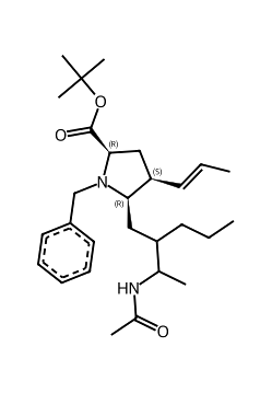 CC=C[C@@H]1C[C@H](C(=O)OC(C)(C)C)N(Cc2ccccc2)[C@@H]1CC(CCC)C(C)NC(C)=O